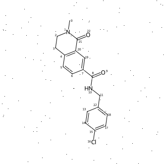 CN1CCc2ccc(C(=O)NCc3ccc(Cl)cc3)cc2C1=O